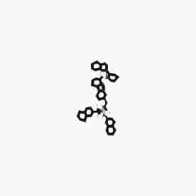 c1ccc2cc(-c3nc(Cc4ccc5c(c4)oc4c(-n6c7ccccc7c7ccc8ccccc8c76)cccc45)nc(-c4ccc5ccccc5c4)n3)ccc2c1